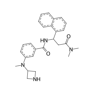 CN(C)C(=O)CC(NC(=O)c1cccc(N(C)C2CNC2)c1)c1cccc2ccccc12